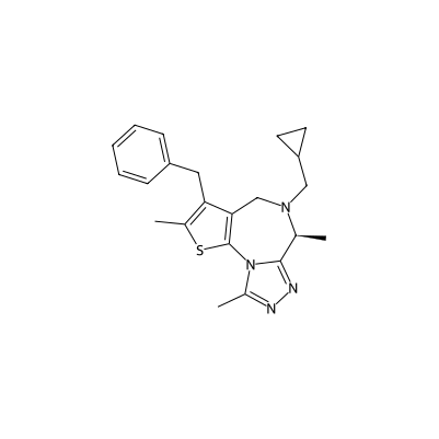 Cc1sc2c(c1Cc1ccccc1)CN(CC1CC1)[C@@H](C)c1nnc(C)n1-2